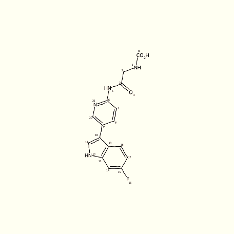 O=C(O)NCC(=O)Nc1ccc(-c2c[nH]c3cc(F)ccc23)cn1